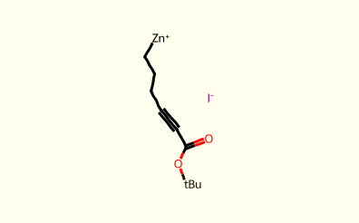 CC(C)(C)OC(=O)C#CCC[CH2][Zn+].[I-]